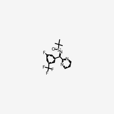 CC(C)(C)[S+]([O-])/N=C(\c1cc(F)cc(C(F)(F)F)c1)c1ncccn1